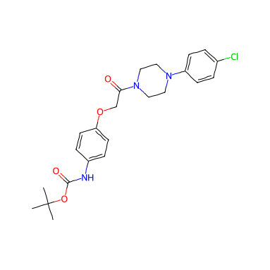 CC(C)(C)OC(=O)Nc1ccc(OCC(=O)N2CCN(c3ccc(Cl)cc3)CC2)cc1